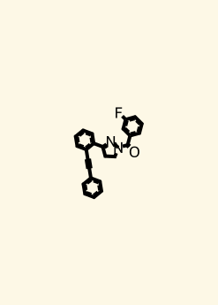 O=C(c1cccc(F)c1)N1CCC(c2ccccc2C#Cc2ccccc2)=N1